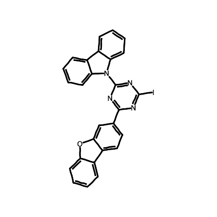 Ic1nc(-c2ccc3c(c2)oc2ccccc23)nc(-n2c3ccccc3c3ccccc32)n1